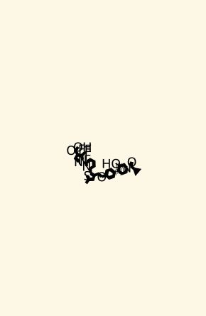 Cc1cc(COc2ccc([C@H]3CCN(C(=O)C4CC4)C[C@@H]3O)cc2)c(-c2cccc(-n3ncc(C(=O)O)c3C(F)(F)F)n2)s1